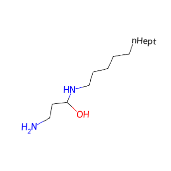 CCCCCCCCCCCCNC(O)CCN